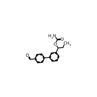 CCC(OC(N)=O)c1cccc(-c2ccc(C=O)cc2)c1